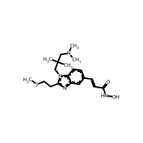 CSCCc1nc2cc(C=CC(=O)NO)ccc2n1CC(C)(C)CN(C)C